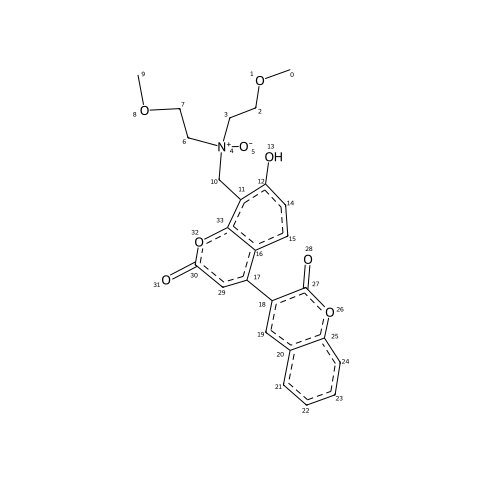 COCC[N+]([O-])(CCOC)Cc1c(O)ccc2c(-c3cc4ccccc4oc3=O)cc(=O)oc12